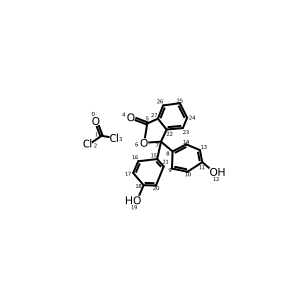 O=C(Cl)Cl.O=C1OC(c2ccc(O)cc2)(c2ccc(O)cc2)c2ccccc21